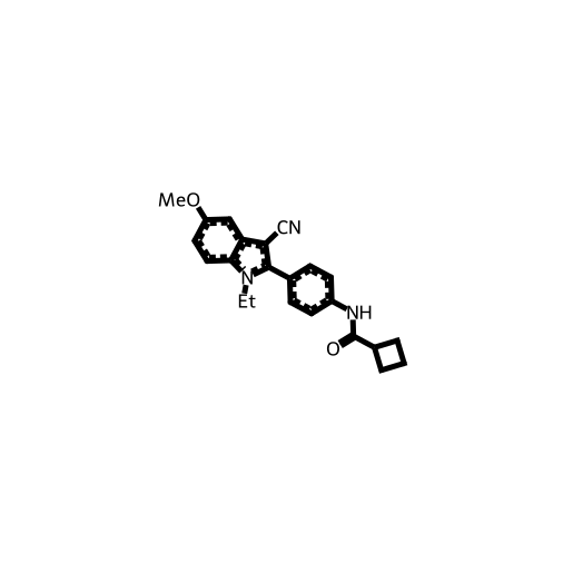 CCn1c(-c2ccc(NC(=O)C3CCC3)cc2)c(C#N)c2cc(OC)ccc21